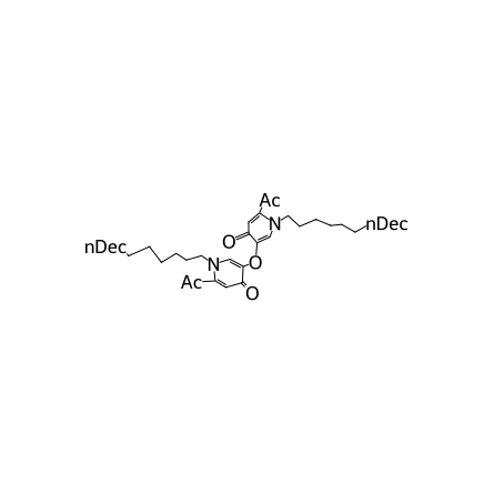 CCCCCCCCCCCCCCCCn1cc(Oc2cn(CCCCCCCCCCCCCCCC)c(C(C)=O)cc2=O)c(=O)cc1C(C)=O